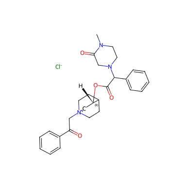 CN1CCN(C(C(=O)O[C@H]2C[N+]3(CC(=O)c4ccccc4)CCC2CC3)c2ccccc2)CC1=O.[Cl-]